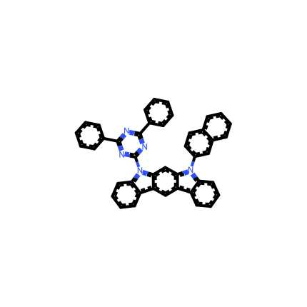 c1ccc(-c2nc(-c3ccccc3)nc(-n3c4ccccc4c4cc5c6ccccc6n(-c6ccc7ccccc7c6)c5cc43)n2)cc1